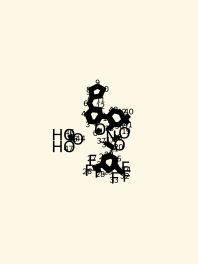 COc1ccc(CC2CCCC2)cc1C1=C(CN2C(=O)O[C@H](c3cc(C(F)(F)F)cc(C(F)(F)F)c3)[C@@H]2C)CC(C)(C)CC1.O=C(O)O